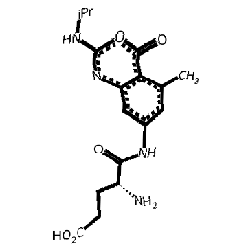 Cc1cc(NC(=O)[C@H](N)CCC(=O)O)cc2nc(NC(C)C)oc(=O)c12